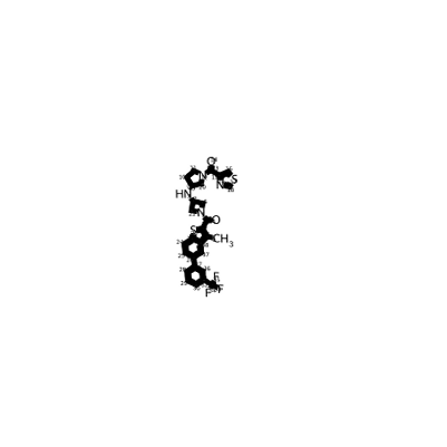 Cc1c(C(=O)N2CC(N[C@H]3CCN(C(=O)c4cscn4)C3)C2)sc2ccc(-c3cccc(C(F)(F)F)c3)cc12